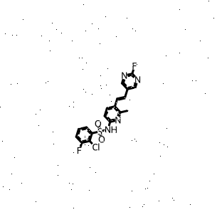 Cc1nc(NS(=O)(=O)c2cccc(F)c2Cl)ccc1/C=C/c1cnc(F)nc1